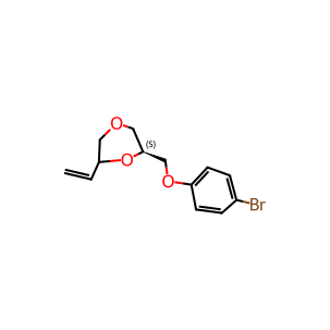 C=CC1COC[C@@H](COc2ccc(Br)cc2)O1